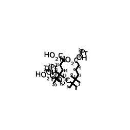 CC(C)(CCCC(=O)O)C(C)(C)C(=O)O.CC(C)(CCCC(=O)O)C(C)(C)C(=O)O.CC(C)O.CC(C)O.[Ti]